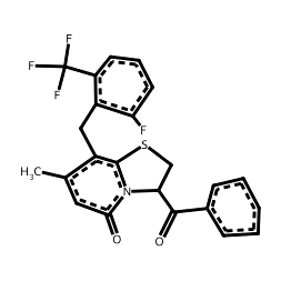 Cc1cc(=O)n2c(c1Cc1c(F)cccc1C(F)(F)F)SCC2C(=O)c1ccccc1